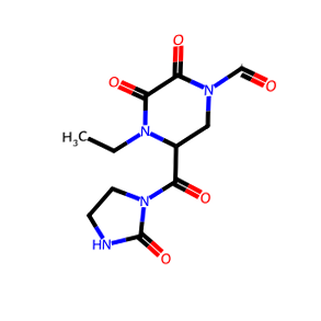 CCN1C(=O)C(=O)N([C]=O)CC1C(=O)N1CCNC1=O